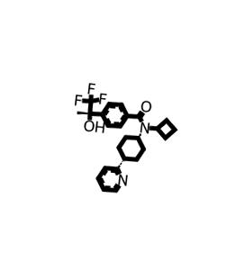 C[C@](O)(c1ccc(C(=O)N(C2CCC2)[C@H]2CC[C@@H](c3ccccn3)CC2)cc1)C(F)(F)F